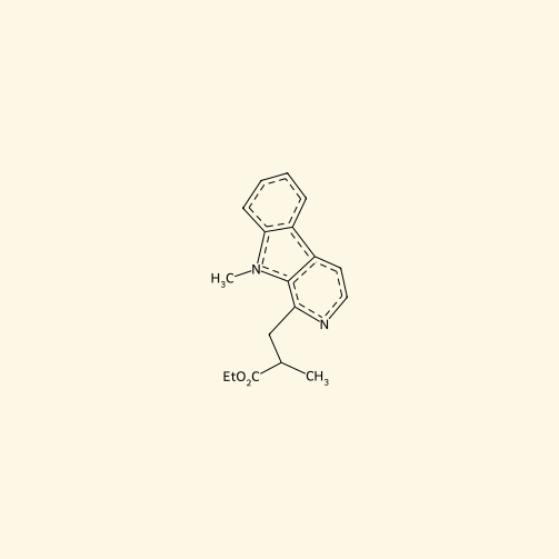 CCOC(=O)C(C)Cc1nccc2c3ccccc3n(C)c12